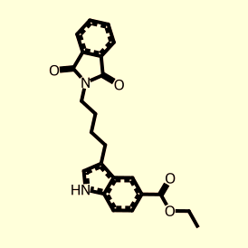 CCOC(=O)c1ccc2[nH]cc(CCCCN3C(=O)c4ccccc4C3=O)c2c1